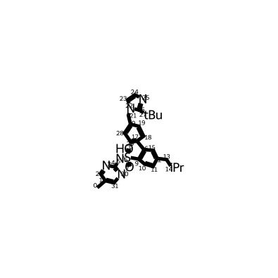 Cc1cnc(NS(=O)(=O)c2ccc(CC(C)C)cc2-c2ccc(Cn3ccnc3C(C)(C)C)cc2)nc1